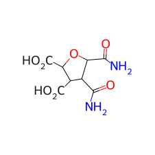 NC(=O)C1OC(C(=O)O)C(C(=O)O)C1C(N)=O